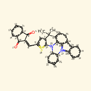 CC1(C)c2cc(C=C3C(=O)c4ccccc4C3=O)sc2N2c3ccccc3-n3c4ccccc4c4ccc1c2c43